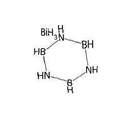 B1NBNBN1.[BiH3]